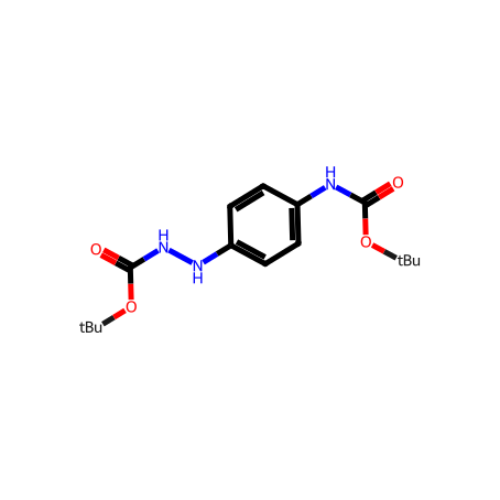 CC(C)(C)OC(=O)NNc1ccc(NC(=O)OC(C)(C)C)cc1